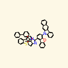 CC1C/C=C(c2cccc3c2sc2ccccc23)/N=C(c2ccc(-n3c4ccccc4c4cc5ccccc5cc43)c3oc4ccccc4c23)\N=C/1c1cccc(-c2ccccc2)c1